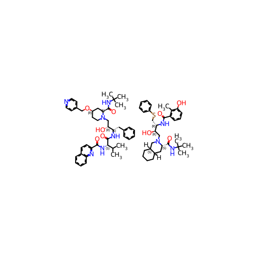 CC(C)[C@H](NC(=O)c1ccc2ccccc2n1)C(=O)N[C@@H](Cc1ccccc1)[C@H](O)CN1CC[C@@H](OCc2ccncc2)C[C@H]1C(=O)NC(C)(C)C.Cc1c(O)cccc1C(=O)N[C@@H](CSc1ccccc1)[C@H](O)CN1C[C@H]2CCCC[C@H]2C[C@H]1C(=O)NC(C)(C)C